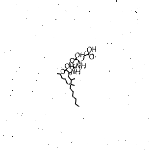 CCCCCCC(C)(CCCCC)C(C)C[C@H](NC(=O)N[C@@H](CCC(=O)O)C(=O)O)C(=O)O